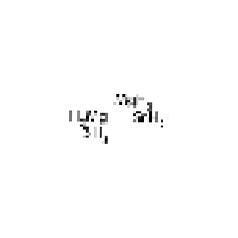 [BiH3].[MgH2].[MgH2].[SnH2]